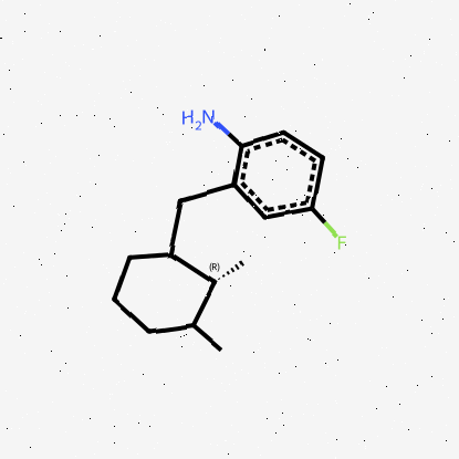 CC1CCCC(Cc2cc(F)ccc2N)[C@@H]1C